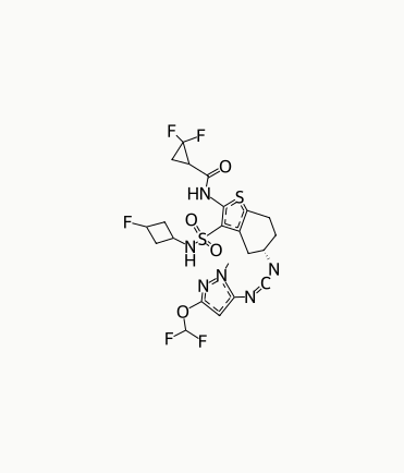 Cn1nc(OC(F)F)cc1N=C=N[C@H]1CCc2sc(NC(=O)C3CC3(F)F)c(S(=O)(=O)NC3CC(F)C3)c2C1